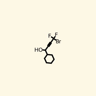 OC(C#CC(F)(F)Br)C1CCCCC1